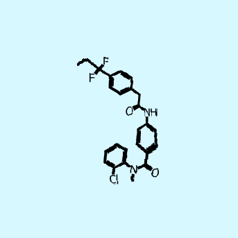 CCC(F)(F)c1ccc(CC(=O)Nc2ccc(C(=O)N(C)c3ccccc3Cl)cc2)cc1